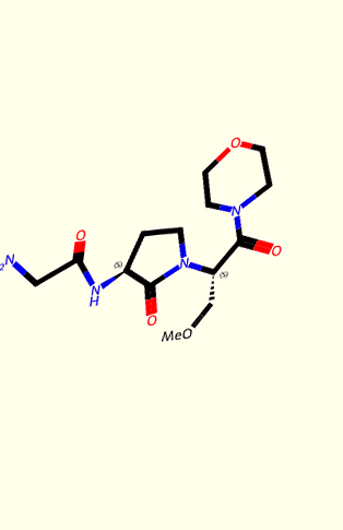 COC[C@@H](C(=O)N1CCOCC1)N1CC[C@H](NC(=O)CN)C1=O